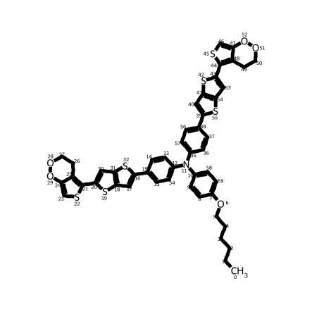 CCCCCCOc1ccc(N(c2ccc(-c3cc4sc(-c5scc6c5CCOO6)cc4s3)cc2)c2ccc(-c3cc4sc(-c5scc6c5CCOO6)cc4s3)cc2)cc1